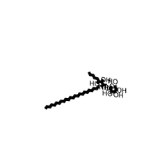 CCCCCCCCCCCCCCCCCCCCCCCCNC(CO[C@H]1O[C@H](CO)[C@H](O)[C@H](O)[C@H]1O)C(O)C(O)CCCCC